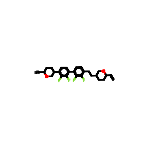 C=CC1CCC(CCc2ccc(-c3ccc(C4CCC(CCC)OC4)c(F)c3F)c(F)c2F)CO1